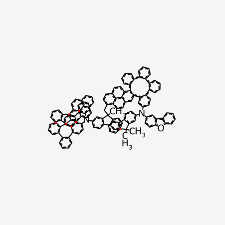 CC1(C)c2ccccc2-c2ccc(N(c3ccc4oc5ccccc5c4c3)c3ccc4c5ccccc5c5ccccc5c5ccccc5c5c(cc6ccc7c(CC8(C)c9ccccc9-c9ccc(N(c%10ccc%11c(c%10)C%10(c%12ccccc%12-c%12ccccc%12-%11)c%11ccccc%11-c%11c%10cc%10ccc%12cccc%13ccc%11c%10c%12%13)c%10ccccc%10-c%10ccccc%10)cc98)ccc8ccc5c6c87)c4c3)cc21